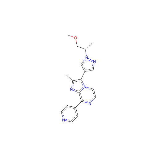 COC[C@H](C)n1cc(-c2c(C)nc3c(-c4ccncc4)nccn23)cn1